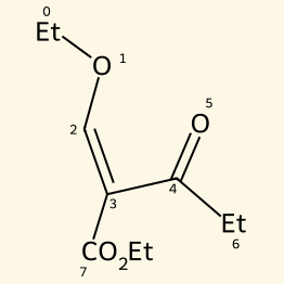 CCOC=C(C(=O)CC)C(=O)OCC